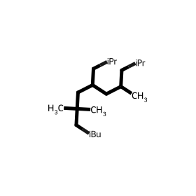 CCC(C)CC(C)(C)CC(CC(C)C)CC(C)CC(C)C